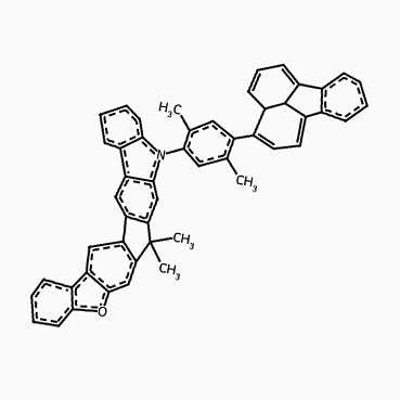 Cc1cc(-n2c3ccccc3c3cc4c(cc32)C(C)(C)c2cc3oc5ccccc5c3cc2-4)c(C)cc1C1=CC=C2c3ccccc3C3=CC=CC1C32